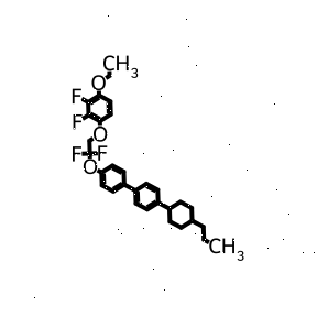 CCCC1CCC(c2ccc(-c3ccc(OC(F)(F)COc4ccc(OCC)c(F)c4F)cc3)cc2)CC1